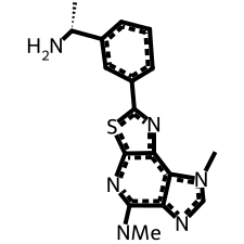 CNc1nc2sc(-c3cccc([C@@H](C)N)c3)nc2c2c1ncn2C